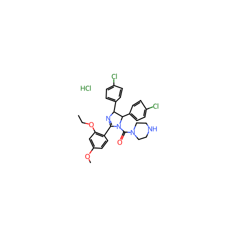 CCOc1cc(OC)ccc1C1=NC(c2ccc(Cl)cc2)C(c2ccc(Cl)cc2)N1C(=O)N1CCNCC1.Cl